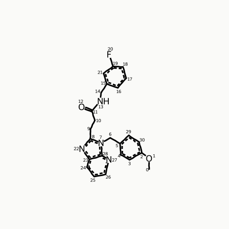 COc1ccc(Cn2c(CCC(=O)NCc3cccc(F)c3)nc3cccnc32)cc1